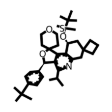 CC(C)c1nc2c(c3c1[C@@H](c1ccc(C(C)(C)C)cc1)OC31CCOCC1)[C@@H](O[Si](C)(C)C(C)(C)C)CC1(CCC1)C2